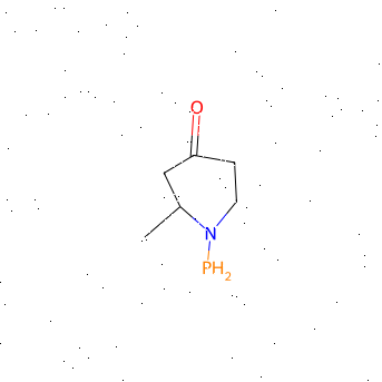 CC1CC(=O)CCN1P